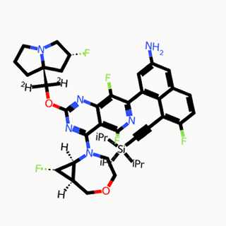 [2H]C([2H])(Oc1nc(N2CCOC[C@H]3[C@H](F)[C@H]32)c2c(F)nc(-c3cc(N)cc4ccc(F)c(C#C[Si](C(C)C)(C(C)C)C(C)C)c34)c(F)c2n1)[C@@]12CCCN1C[C@H](F)C2